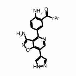 CCCC(=O)c1cc(-c2ncc(-c3cn[nH]c3)c3onc(N)c23)ccc1N